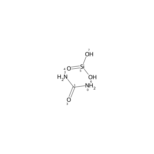 NC(N)=O.O=[Si](O)O